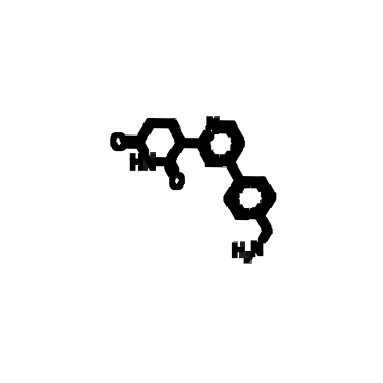 NCc1ccc(-c2ccnc(C3CCC(=O)NC3=O)c2)cc1